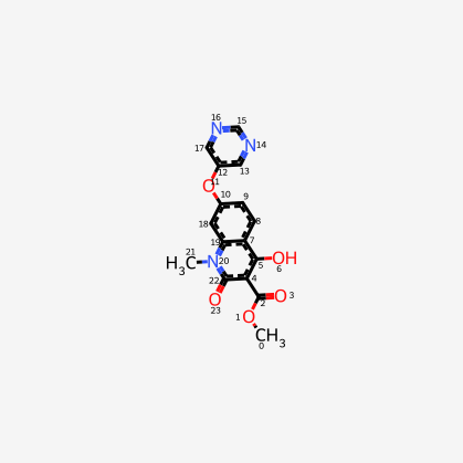 COC(=O)c1c(O)c2ccc(Oc3cncnc3)cc2n(C)c1=O